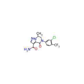 C[C@H]1CN(c2ccc(C(F)(F)F)c(Cl)c2)C(=O)c2c(C(N)=O)cnn21